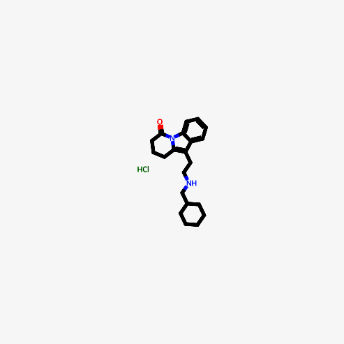 Cl.O=C1CCCc2c(CCNCC3CCCCC3)c3ccccc3n21